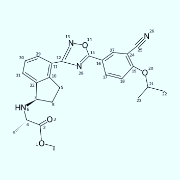 COC(=O)[C@H](C)N[C@@H]1CCc2c(-c3noc(-c4ccc(OC(C)C)c(C#N)c4)n3)cccc21